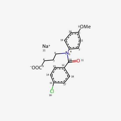 COc1ccc(N(CCCC(=O)[O-])C(=O)c2ccc(Cl)cc2)cc1.[Na+]